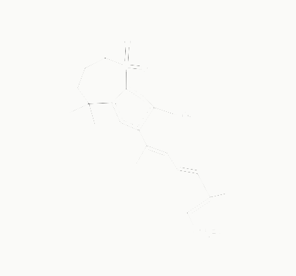 CCCCCCCCc1cc2c(cc1C(C)=CC=CC(C)=CC(=O)OCC)C(C)(C)CCCS2(=O)=O